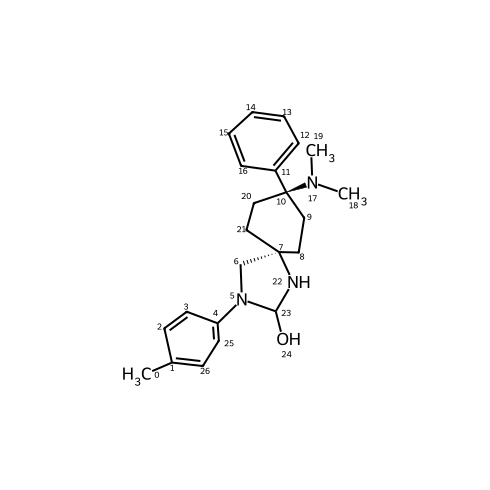 Cc1ccc(N2C[C@]3(CC[C@](c4ccccc4)(N(C)C)CC3)NC2O)cc1